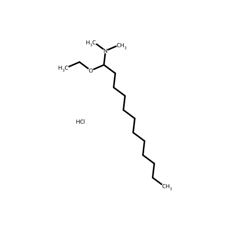 CCCCCCCCCCCC(OCC)N(C)C.Cl